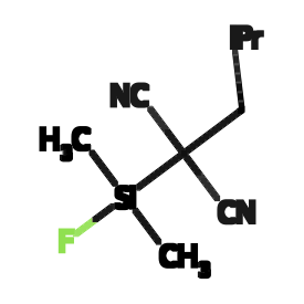 CC(C)CC(C#N)(C#N)[Si](C)(C)F